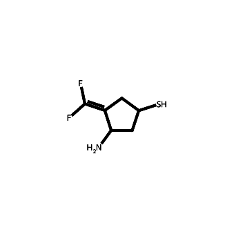 NC1CC(S)CC1=C(F)F